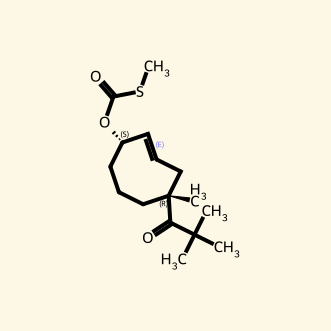 CSC(=O)O[C@@H]1/C=C/C[C@](C)(C(=O)C(C)(C)C)CCC1